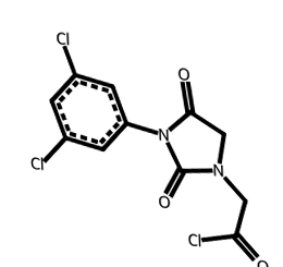 O=C(Cl)CN1CC(=O)N(c2cc(Cl)cc(Cl)c2)C1=O